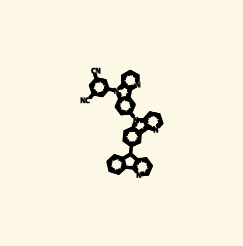 N#Cc1cc(C#N)cc(-n2c3ccc(-n4c5ccc(C6c7ccccc7-c7ncccc76)cc5c5ncccc54)cc3c3ncccc32)c1